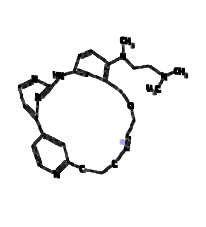 CN(C)CCN(C)c1ccc2cc1COC/C=C/CCCc1cc(ccn1)-c1ccnc(n1)N2